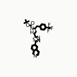 CC(C)(C)OC(=O)N[C@H](CCc1nnc(-c2ccc3cnccc3c2)s1)Cc1ccc(C(F)(F)F)cc1